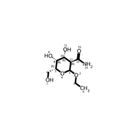 CCOC1O[C@H](CO)[C@H](O)[C@H](O)[C@H]1C(N)=O